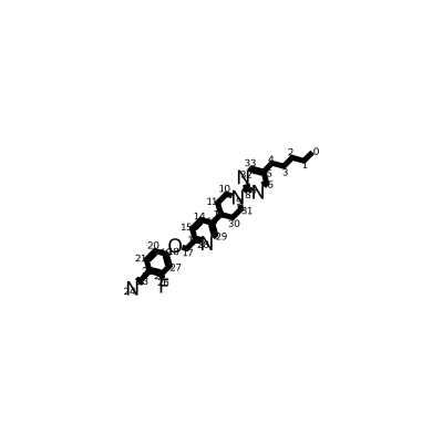 CCCCCc1cnc(N2CCC(c3ccc(COc4ccc(C#N)c(F)c4)nc3)CC2)nc1